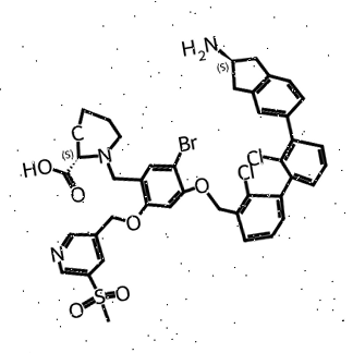 CS(=O)(=O)c1cncc(COc2cc(OCc3cccc(-c4cccc(-c5ccc6c(c5)C[C@@H](N)C6)c4Cl)c3Cl)c(Br)cc2CN2CCCC[C@H]2C(=O)O)c1